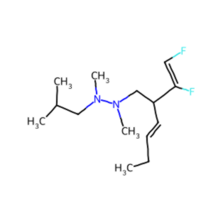 CCC=CC(CN(C)N(C)CC(C)C)/C(F)=C/F